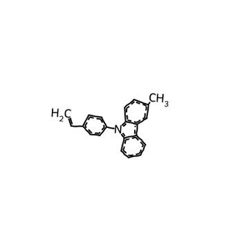 C=Cc1ccc(-n2c3ccccc3c3cc(C)ccc32)cc1